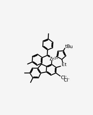 CCC1C=C(C(C)(C)C)C=[C]1[Zr+2](=[C](c1ccc(C)cc1)c1ccc(C)cc1)[c]1c(C)c(C)cc2c1Cc1cc(C)c(C)cc1-2.[Cl-].[Cl-]